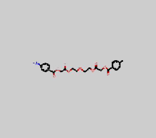 Cc1ccc(C(=O)OCC(=O)OCCOCCOC(=O)COC(=O)c2ccc(N)cc2)cc1